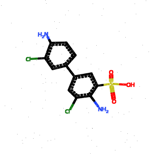 Nc1ccc(-c2cc(Cl)c(N)c(S(=O)(=O)O)c2)cc1Cl